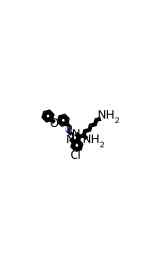 NCCCCCCC(N)c1nc(/C=C/c2cccc(Oc3ccccc3)c2)nc2cc(Cl)ccc12